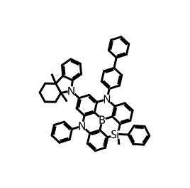 CC12CCCCC1(C)N(c1cc3c4c(c1)N(c1ccc(-c5ccccc5)cc1)c1cccc5c1B4c1c(cccc1[Si]5(C)c1ccccc1)N3c1ccccc1)c1ccccc12